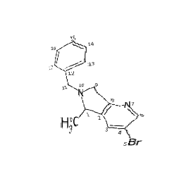 CC1c2cc(Br)cnc2CN1Cc1ccccc1